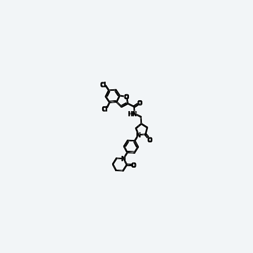 O=C(NCC1CC(=O)N(c2ccc(N3CCCCC3=O)cc2)C1)c1cc2c(Cl)cc(Cl)cc2o1